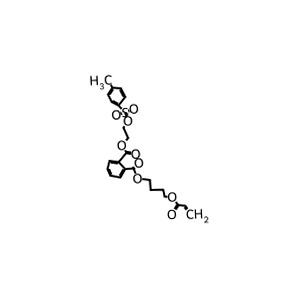 C=CC(=O)OCCCCOC(=O)c1ccccc1C(=O)OCCOS(=O)(=O)c1ccc(C)cc1